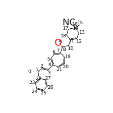 C[C@H](/C=C/C1=CC=C(C(=O)CC2=CCC(C)(C#N)CC2)C=C=C1)c1ccccc1